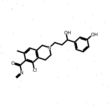 C=NC(=O)c1c(C)cc2c(c1Cl)CCN(CCC(O)c1cccc(O)c1)C2